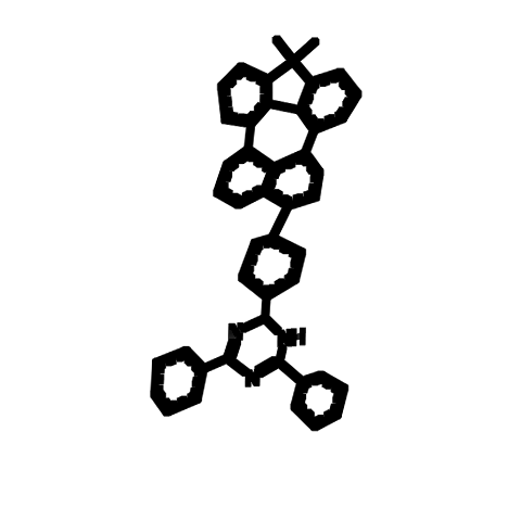 CC1(C)c2cccc3c2-c2c(cccc21)-c1ccc(-c2ccc(C4N=C(c5ccccc5)N=C(c5ccccc5)N4)cc2)c2cccc-3c12